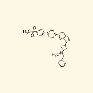 CN(Cc1ccccc1)[C@H]1C[C@H](n2ccc3ccc(N4CCN(c5ccc(S(C)(=O)=O)cc5)CC4)nc32)C1